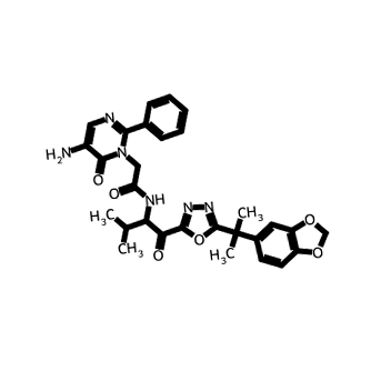 CC(C)C(NC(=O)Cn1c(-c2ccccc2)ncc(N)c1=O)C(=O)c1nnc(C(C)(C)c2ccc3c(c2)OCO3)o1